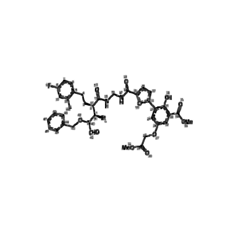 CC[C@H]([C@@H](CCc1ccc(F)cc1F)C(=O)NCNC(=O)c1ccc(-c2cc(OCC(=O)OC)cc(C(=O)OC)c2O)o1)N(C=O)OCc1ccccc1